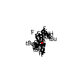 C[C@H](c1cccnc1N(C(=O)OC(C)(C)C)C(=O)OC(C)(C)C)N1CCOc2c(C(F)(F)F)c(-c3ccc(F)c4sc(NC(=O)OC(C)(C)C)c(C#N)c34)c(F)c3nc(OCC4(CN5CCC6(CC5)CC6(F)F)CC4)nc1c23